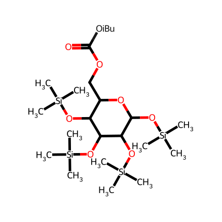 CC(C)COC(=O)OCC1OC(O[Si](C)(C)C)C(O[Si](C)(C)C)C(O[Si](C)(C)C)C1O[Si](C)(C)C